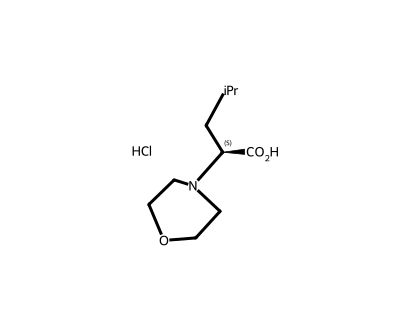 CC(C)C[C@@H](C(=O)O)N1CCOCC1.Cl